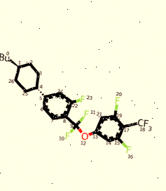 CCCC[C@H]1CC[C@H](c2ccc(C(F)(F)Oc3cc(F)c(C(F)(F)F)c(F)c3)c(F)c2)CC1